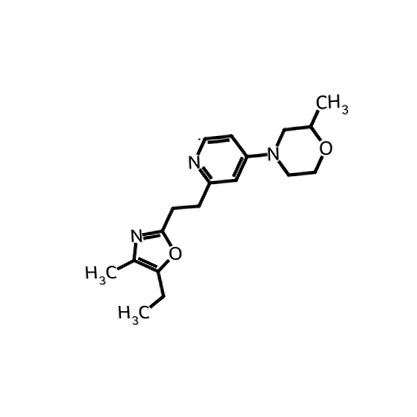 CCc1oc(CCc2cc(N3CCOC(C)C3)c[c]n2)nc1C